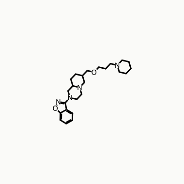 c1ccc2c(N3CCN4CC(COCCCN5CCCCC5)CCC4C3)noc2c1